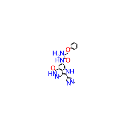 Cn1cc(-c2[nH]c3cc(NC(=O)[C@H](N)COc4ccccc4)cc4c3c2C=NNC4=O)cn1